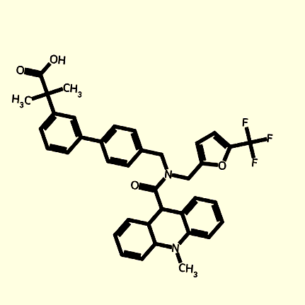 CN1c2ccccc2C(C(=O)N(Cc2ccc(-c3cccc(C(C)(C)C(=O)O)c3)cc2)Cc2ccc(C(F)(F)F)o2)C2C=CC=CC21